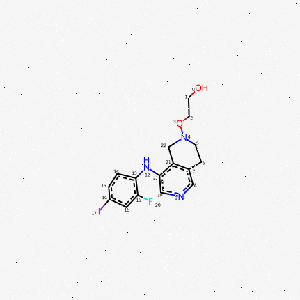 OCCON1CCc2cncc(Nc3ccc(I)cc3F)c2C1